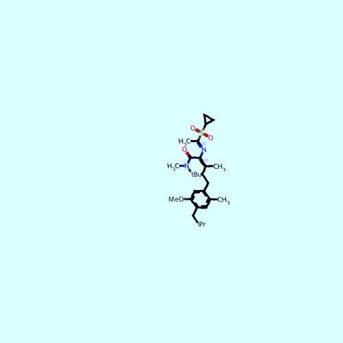 COc1cc(CC/C(C)=C(/N=C(\C)S(=O)(=O)C2CC2)C(=O)N(C)C(C)(C)C)c(C)cc1CC(C)C